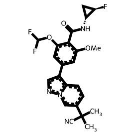 COc1cc(-c2cnn3cc(C(C)(C)C#N)ccc23)cc(OC(F)F)c1C(=O)N[C@@H]1C[C@H]1F